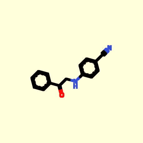 N#Cc1ccc(NCC(=O)c2ccccc2)cc1